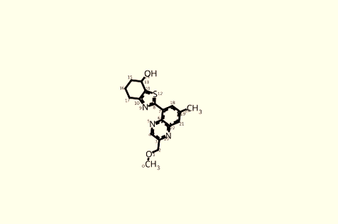 COCc1cnc2c(-c3nc4c(s3)C(O)CCC4)cc(C)cc2n1